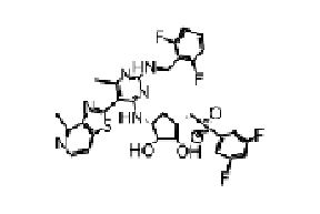 Cc1nc(NCc2c(F)cccc2F)nc(N[C@@H]2C[C@H](CS(=O)(=O)c3cc(F)cc(F)c3)[C@@H](O)[C@H]2O)c1-c1nc2c(C)nccc2s1